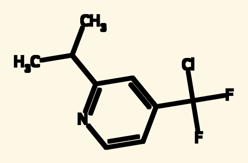 CC(C)c1cc(C(F)(F)Cl)ccn1